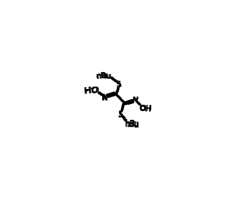 CCCCSC(=N\O)/C(=N/O)SCCCC